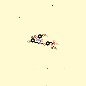 CCOC(Cc1ccc(OCCN(CCCc2cc(Cl)cc(Cl)c2)C(=O)Nc2cc(C)ccc2OC)cc1)C(=O)O